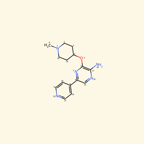 CN1CCC(Oc2nc(-c3ccncc3)cnc2N)CC1